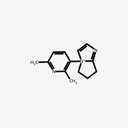 Cc1ccc([N+]23C=CN=C2CCC3)c(C)n1